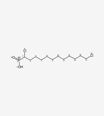 O=[PH](O)C(Cl)CCCCCCCCCCCCl